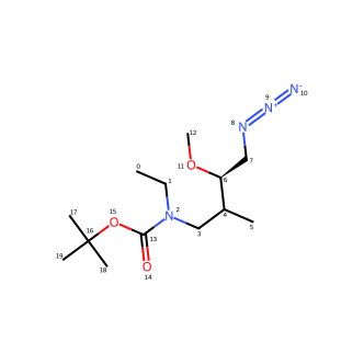 CCN(CC(C)[C@H](CN=[N+]=[N-])OC)C(=O)OC(C)(C)C